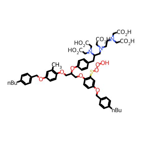 CCCCc1ccc(COc2ccc(OCC(COc3ccc(OCc4ccc(CCCC)cc4)cc3SOOO)Oc3ccc(CC(CN(CCN(CC(=O)O)CC(=O)O)CC(=O)O)N(CC(=O)O)CC(=O)O)cc3)c(C)c2)cc1